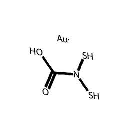 O=C(O)N(S)S.[Au]